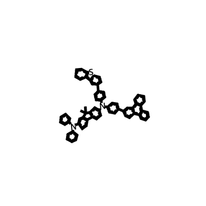 CC1(C)c2cc(N(c3ccccc3)c3ccccc3)ccc2-c2ccc(N(c3ccc(-c4ccc5sc6ccccc6c5c4)cc3)c3ccc(-c4ccc5c6ccccc6c6ccccc6c5c4)cc3)cc21